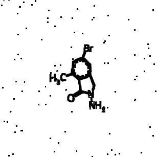 Cc1cc(Br)cc2c1C(=O)N(N)C2